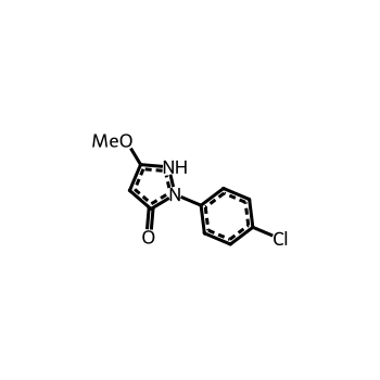 COc1cc(=O)n(-c2ccc(Cl)cc2)[nH]1